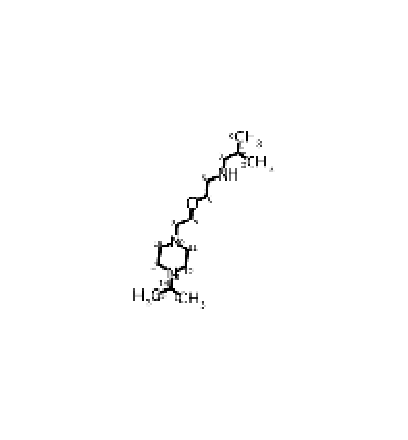 CC(C)CNCCOCCN1CCN(C(C)C)CC1